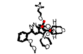 COCOc1ccccc1-c1cc2c(N3CCOCC3)c(C3=C[C@H]4COC[C@@H](C3)N4C(=O)OC(C)(C)C)n(COCC[Si](C)(C)C)c2nn1